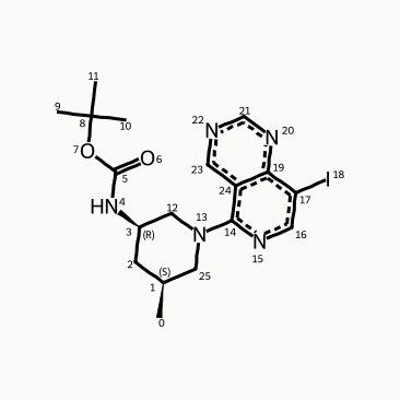 C[C@H]1C[C@@H](NC(=O)OC(C)(C)C)CN(c2ncc(I)c3ncncc23)C1